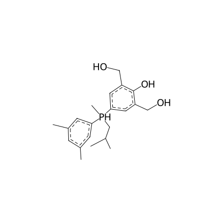 Cc1cc(C)cc([PH](C)(CC(C)C)c2cc(CO)c(O)c(CO)c2)c1